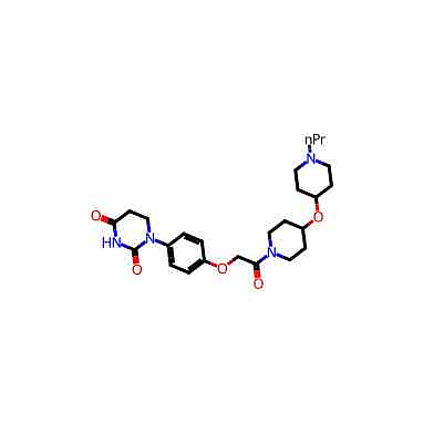 CCCN1CCC(OC2CCN(C(=O)COc3ccc(N4CCC(=O)NC4=O)cc3)CC2)CC1